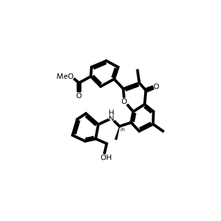 COC(=O)c1cccc(-c2oc3c([C@@H](C)Nc4ccccc4CO)cc(C)cc3c(=O)c2C)c1